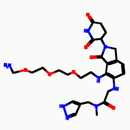 CN(Cc1cn[nH]c1)C(=O)CNc1ccc2c(c1NCCOCCOCCOCN)C(=O)N(C1CCC(=O)NC1=O)C2